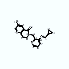 O=C1c2cc(Br)cnc2CCN1Cc1ncccc1OCC1CC1